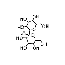 COC1(C2OC(CO)C(O)C(O)C2O)OC(CO)C(O)C(O)C1O